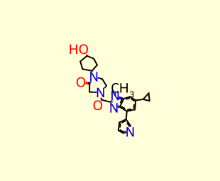 Cn1c(C(=O)N2CCN(C3CCC(O)CC3)C(=O)C2)nc2c(-c3cccnc3)cc(C3CC3)cc21